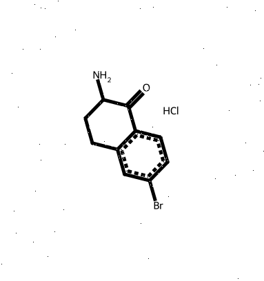 Cl.NC1CCc2cc(Br)ccc2C1=O